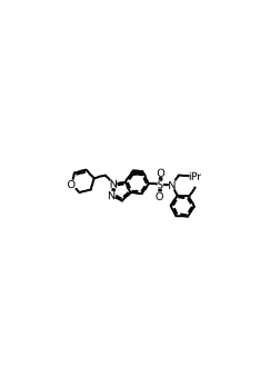 Cc1ccccc1N(CC(C)C)S(=O)(=O)c1c#cc2c(cnn2CC2C=COCC2)c1